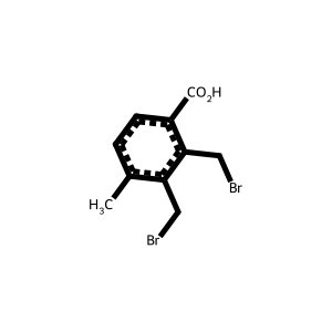 Cc1ccc(C(=O)O)c(CBr)c1CBr